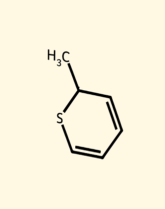 C[C]1C=CC=CS1